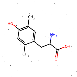 Cc1cc(CC(N)C(=O)O)c(C)cc1O